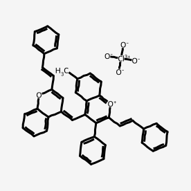 Cc1ccc2[o+]c(C=Cc3ccccc3)c(-c3ccccc3)c(C=C3C=C(C=Cc4ccccc4)Oc4ccccc43)c2c1.[O-][Cl+3]([O-])([O-])[O-]